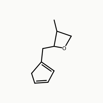 CC1COC1CC1=CC=CC1